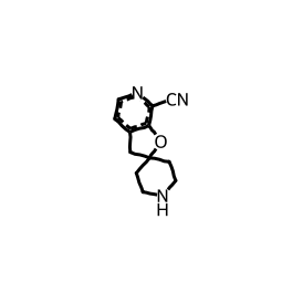 N#Cc1nccc2c1OC1(CCNCC1)C2